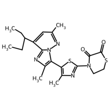 CCC(CC)c1cc(C)nn2c(-c3sc(N4CCSC(=O)C4=O)nc3C)c(C)nc12